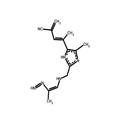 C=C(C#N)/C=C(\C)c1[nH]c(CN/C=C(/C)N=N)nc1C